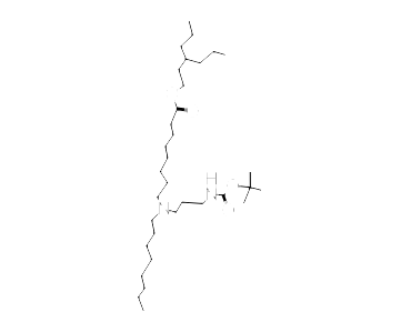 CCCCCCCCN(CCCCCCCC(=O)OCCC(CCC)CCC)CCCNC(=O)OC(C)(C)C